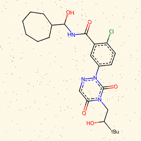 CC(C)(C)C(O)Cn1c(=O)cnn(-c2ccc(Cl)c(C(=O)NC(O)C3CCCCCC3)c2)c1=O